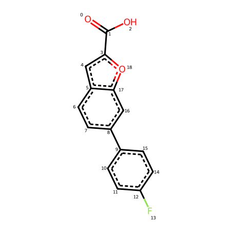 O=C(O)c1cc2ccc(-c3ccc(F)cc3)cc2o1